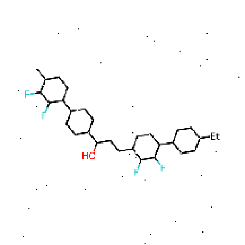 CCC1CCC(C2CCC(CCC(O)C3CCC(C4CCC(C)C(F)C4F)CC3)C(F)C2F)CC1